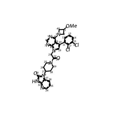 COC1CN(c2ncnc3c2c(-c2cccc(Cl)c2Cl)cn3CC(=O)N2CCC(n3c(=O)[nH]c4ncccc43)CC2)C1